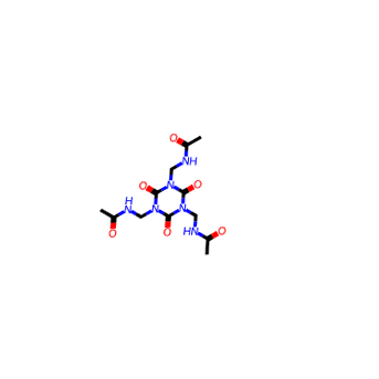 CC(=O)NCn1c(=O)n(CNC(C)=O)c(=O)n(CNC(C)=O)c1=O